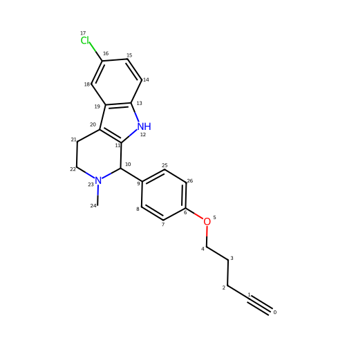 C#CCCCOc1ccc(C2c3[nH]c4ccc(Cl)cc4c3CCN2C)cc1